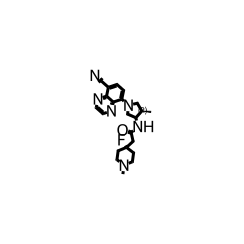 C[C@@H]1CN(c2ccc(C#N)c3nccnc23)CC1NC(=O)CC1(F)CCN(C)CC1